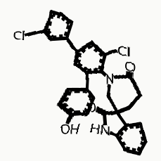 O=C1CCC2(CN1c1c(Cl)cc(-c3cccc(Cl)c3)cc1-c1ccc(O)cc1)C(=O)Nc1ccccc12